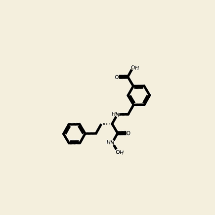 O=C(O)c1cccc(CN[C@@H](CCc2ccccc2)C(=O)NO)c1